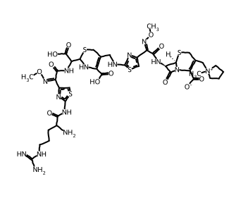 CO/N=C(\C(=O)NC(C(=O)O)C1NC(C(=O)O)=C(CNc2nc(/C(=N/OC)C(=O)N[C@@H]3C(=O)N4C(C(=O)[O-])=C(C[N+]5(C)CCCC5)CS[C@H]34)cs2)CS1)c1csc(NC(=O)C(N)CCCNC(=N)N)n1